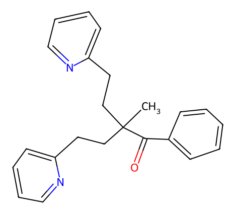 CC(CCc1ccccn1)(CCc1ccccn1)C(=O)c1ccccc1